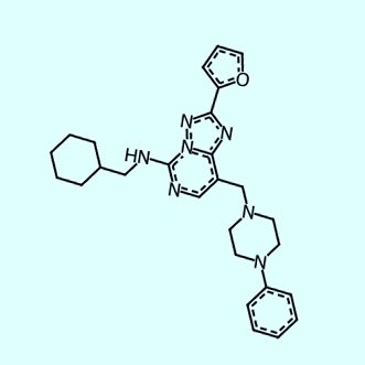 c1ccc(N2CCN(Cc3cnc(NCC4CCCCC4)n4nc(-c5ccco5)nc34)CC2)cc1